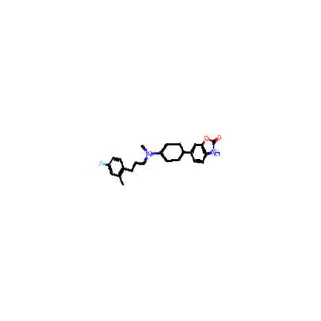 Cc1cc(F)ccc1CCCN(C)C1CCC(c2ccc3[nH]c(=O)oc3c2)CC1